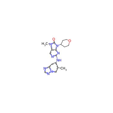 Cc1cn2ncnc2cc1Nc1ncc2c(n1)n(C1CCOCC1)c(=O)n2C